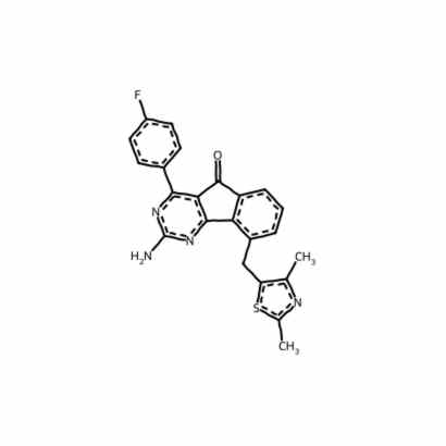 Cc1nc(C)c(Cc2cccc3c2-c2nc(N)nc(-c4ccc(F)cc4)c2C3=O)s1